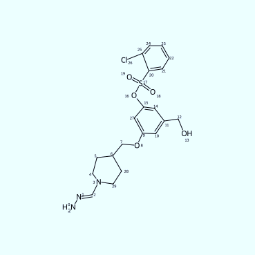 NN=CN1CCC(COc2cc(CO)cc(OS(=O)(=O)c3ccccc3Cl)c2)CC1